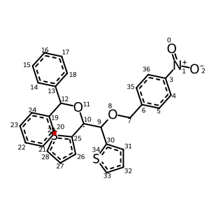 O=[N+]([O-])c1ccc(COC([C](OC(c2ccccc2)c2ccccc2)c2cccs2)c2cccs2)cc1